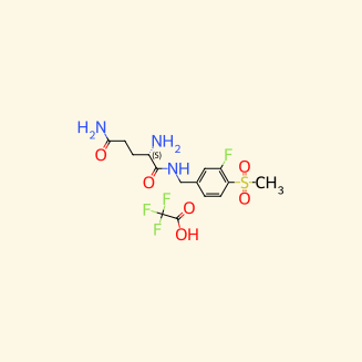 CS(=O)(=O)c1ccc(CNC(=O)[C@@H](N)CCC(N)=O)cc1F.O=C(O)C(F)(F)F